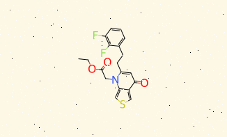 CCOC(=O)Cn1c(CCc2cccc(F)c2F)cc(=O)c2cscc21